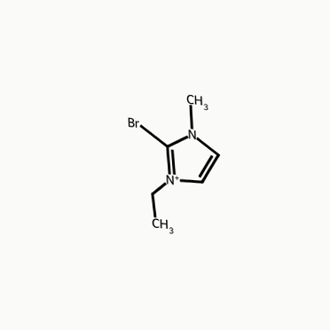 CC[n+]1ccn(C)c1Br